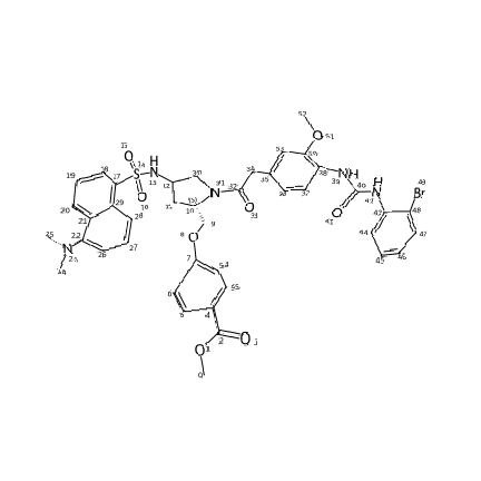 COC(=O)c1ccc(OC[C@@H]2CC(NS(=O)(=O)c3cccc4c(N(C)C)cccc34)CN2C(=O)Cc2ccc(NC(=O)Nc3ccccc3Br)c(OC)c2)cc1